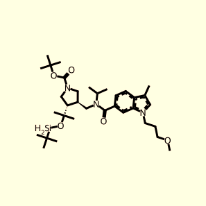 COCCCn1cc(C)c2ccc(C(=O)N(C[C@@H]3CN(C(=O)OC(C)(C)C)C[C@H]3C(C)(C)O[SiH2]C(C)(C)C)C(C)C)cc21